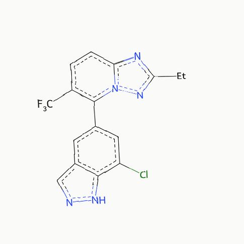 CCc1nc2ccc(C(F)(F)F)c(-c3cc(Cl)c4[nH]ncc4c3)n2n1